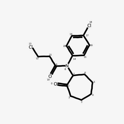 O=C1CCCCCC1N(C(=O)CCCl)c1ccc(Cl)cc1